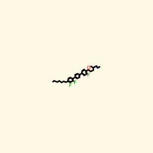 C/C=C/C1CCC(c2ccc(-c3ccc(-c4ccc(CCCCCCC)c(F)c4F)cc3)cc2F)OC1